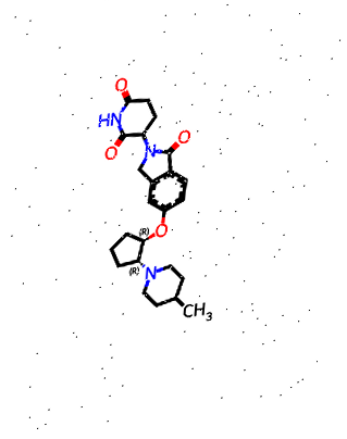 CC1CCN([C@@H]2CCC[C@H]2Oc2ccc3c(c2)CN(C2CCC(=O)NC2=O)C3=O)CC1